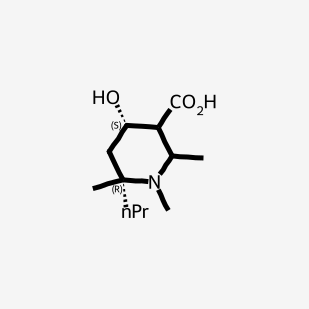 CCC[C@]1(C)C[C@H](O)C(C(=O)O)C(C)N1C